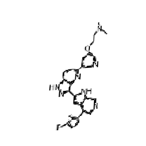 CN(C)CCOc1cncc(-c2ccc3[nH]nc(-c4cc5c(-c6ccc(F)s6)cncc5[nH]4)c3n2)c1